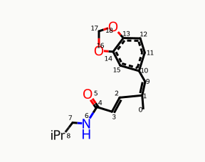 CC(C=CC(=O)NCC(C)C)=Cc1ccc2c(c1)OCO2